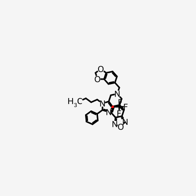 CCCCn1c(-c2ccccc2)nc(C(F)(F)F)c1CN(Cc1ccc2c(c1)OCO2)Cc1ccc2nonc2c1